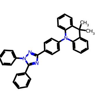 CC1(C)c2ccccc2N(c2ccc(-c3nc(-c4ccccc4)n(-c4ccccc4)n3)cc2)c2ccccc21